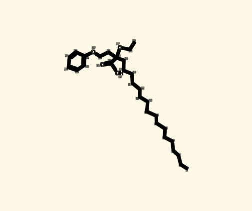 CCCCCCCCCCCCCCCCCC(CCOc1ccccc1)(OCC)C(=O)O